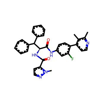 Cc1nccc(-c2ccc(NC(=O)[C@@H](NC(=O)c3ccnn3C)C(c3ccccc3)c3ccccc3)cc2F)c1C